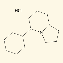 C1CCC(C2CCCC3CCCN32)CC1.Cl